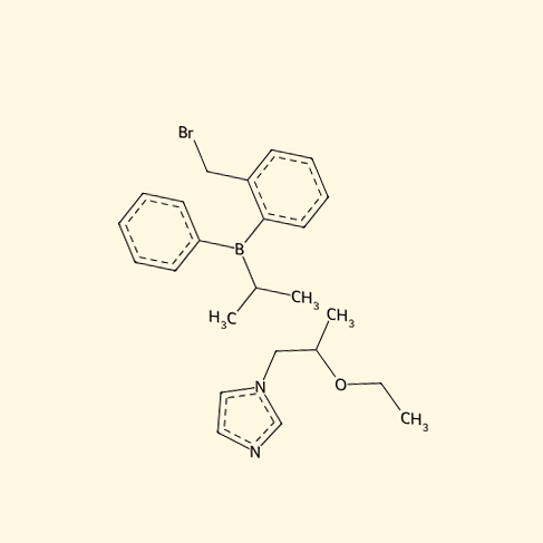 CC(C)B(c1ccccc1)c1ccccc1CBr.CCOC(C)Cn1ccnc1